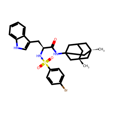 C[C@]12CC3CC(NC(=O)[C@H](Cc4c[nH]c5ccccc45)NS(=O)(=O)c4ccc(Br)cc4)(C1)C[C@@](C)(C3)C2